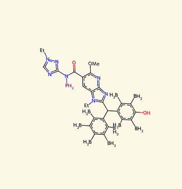 Bc1c(B)c(B)c(C(c2c(B)c(B)c(O)c(B)c2B)c2nc3nc(OC)c(C(=O)N(P)c4ncn(CC)n4)cc3n2CC)c(B)c1B